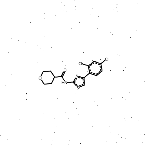 O=C(Nc1nc(-c2ccc(Cl)cc2Cl)cs1)C1CCOCC1